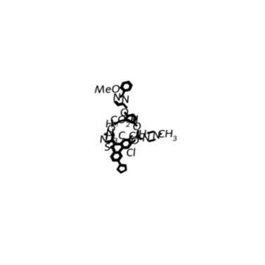 COc1ccccc1-c1nccc(COc2ccc3cc2C[C@H](C(=O)O)Oc2ncnc4sc5c6ccc(C7=CCCC7)cc6c6c(Cl)c(c(Cl)c(C)c6c5c24)O[C@H](CN2CCN(C)CC2)CO3)n1